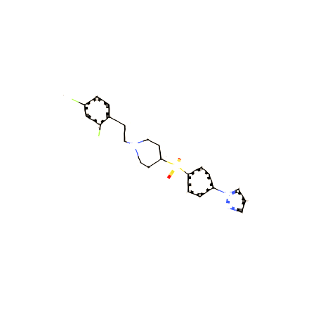 O=S(=O)(c1ccc(-n2cccn2)cc1)C1CCN(CCc2ccc(F)cc2F)CC1